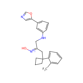 O/N=C(\CNc1cccc(-c2cnco2)c1)CC1(c2ccccc2C(F)(F)F)CCC1